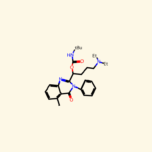 CCN(CC)CCCC(OC(=O)NC(C)(C)C)c1nc2cccc(C)c2c(=O)n1-c1ccccc1